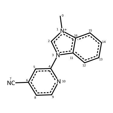 C[n+]1cn(-c2cc(C#N)ccn2)c2ccccc21